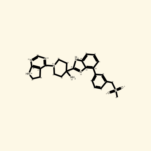 CS(=O)(=O)Cc1cccc(-c2cccc3[nH]c(C4(N)CCN(c5ncnc6c5CCN6)CC4)nc23)c1